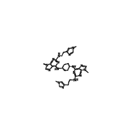 Cn1cnc(CCNc2nc(NC3CCC(Nc4nc(NCCc5cn(C)cn5)nc5c4ncn5C)CC3)c3ncn(C)c3n2)c1